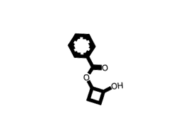 O=C(OC1CCC1O)c1ccccc1